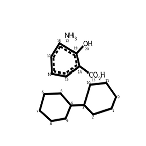 C1CCC(C2CCCCC2)CC1.N.O=C(O)c1ccccc1O